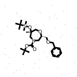 CC(C)(C)OC(=O)N1C[C@@H](COCc2ccccc2)OC[C@@](C)(O[Si](C)(C)C(C)(C)C)C1